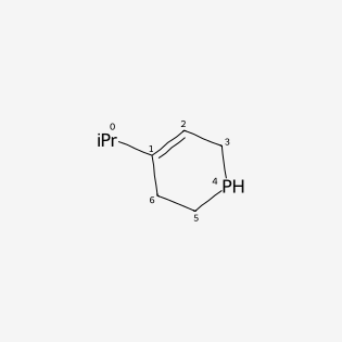 CC(C)C1=CCPCC1